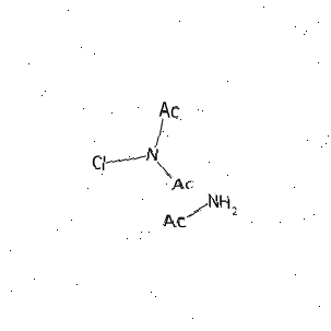 CC(=O)N(Cl)C(C)=O.CC(N)=O